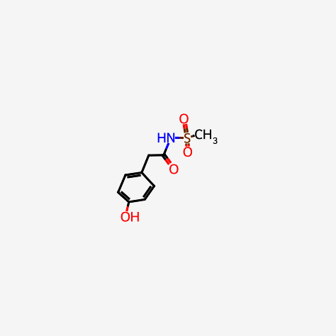 CS(=O)(=O)NC(=O)Cc1ccc(O)cc1